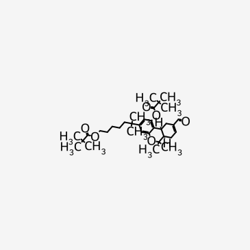 CC(C)(C)C(=O)OCCCCCC(C)(C)c1cc(OC(=O)C(C)(C)C)c2c(c1)OC(C)(C)[C@@H]1CC=C(C=O)C[C@@H]21